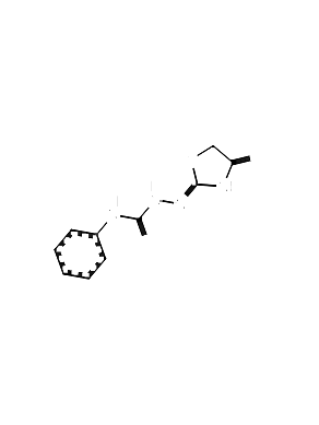 O=C1CSC(=NNC(=O)Nc2ccccc2)N1